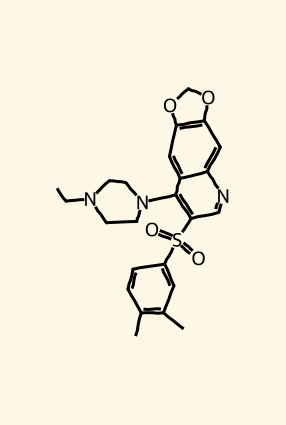 CCN1CCN(c2c(S(=O)(=O)c3ccc(C)c(C)c3)cnc3cc4c(cc23)OCO4)CC1